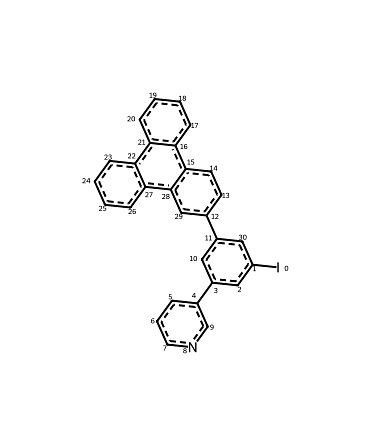 Ic1cc(-c2cccnc2)cc(-c2ccc3c4ccccc4c4ccccc4c3c2)c1